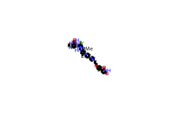 CCc1cc(Nc2ncc(Br)c(Nc3ccc4nccnc4c3P(C)(C)=O)n2)c(OC)cc1N1CCC(N2CCN(CCCOc3ccc(C4CCC(=O)NC4=O)cc3)CC2)CC1